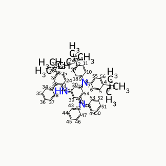 CC(C)(C)c1ccc(N(c2ccc(C(C)(C)C)cc2)c2cc(Nc3ccc(C(C)(C)C)cc3-c3ccccc3)cc(N(c3ccccc3)c3ccccc3)c2)cc1